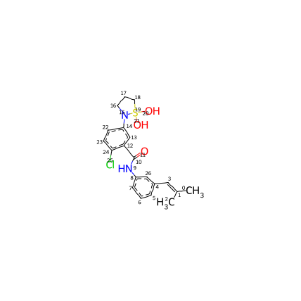 CC(C)=Cc1cccc(NC(=O)c2cc(N3CCCS3(O)O)ccc2Cl)c1